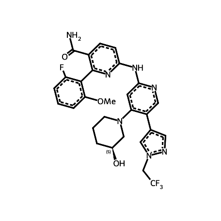 COc1cccc(F)c1-c1nc(Nc2cc(N3CCC[C@H](O)C3)c(-c3cnn(CC(F)(F)F)c3)cn2)ccc1C(N)=O